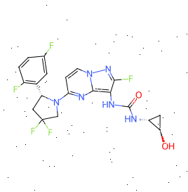 O=C(Nc1c(F)nn2ccc(N3CC(F)(F)C[C@@H]3c3cc(F)ccc3F)nc12)N[C@@H]1C[C@H]1O